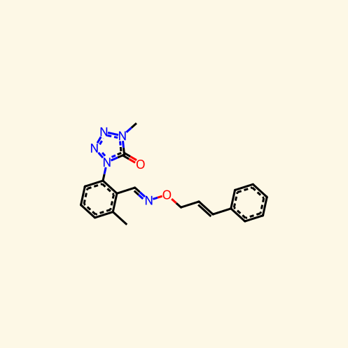 Cc1cccc(-n2nnn(C)c2=O)c1C=NOC/C=C/c1ccccc1